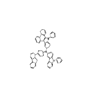 C1=Cc2c(c3ccccc3c3c4c(n(-c5ccccc5)c23)=CCC(N(c2ccc(-c3cccc5c3sc3ccccc35)cc2)c2ccc3c(c2)c2ccccc2n3-c2ccccc2)C=4)CC1